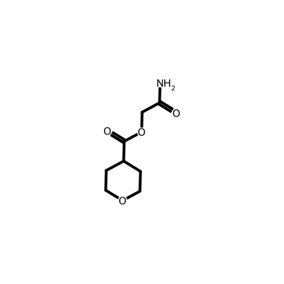 NC(=O)COC(=O)C1CCOCC1